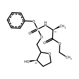 CCOC(=O)[C@H](C)NP(=O)(OCC1OCC[C@H]1O)Oc1ccccc1